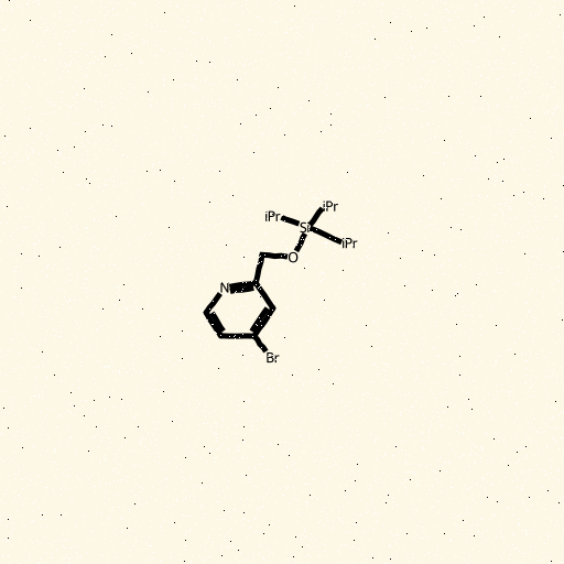 CC(C)[Si](OCc1cc(Br)ccn1)(C(C)C)C(C)C